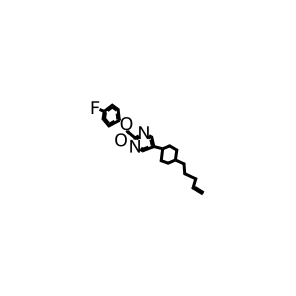 C=CCCCC1CCC(c2cnc(C(=O)Oc3ccc(F)cc3)nc2)CC1